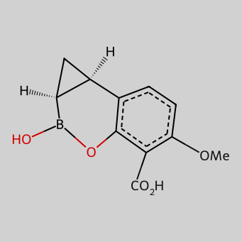 COc1ccc2c(c1C(=O)O)OB(O)[C@H]1C[C@@H]21